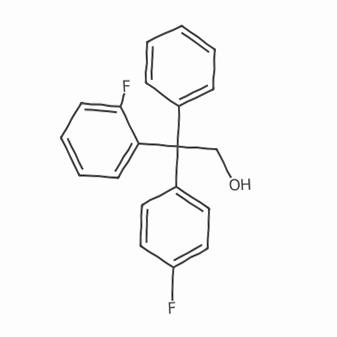 OCC(c1ccccc1)(c1ccc(F)cc1)c1ccccc1F